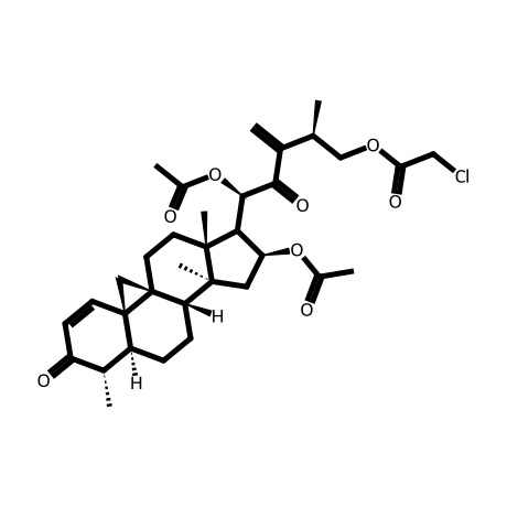 C=C(C(=O)[C@H](OC(C)=O)C1[C@@H](OC(C)=O)C[C@@]2(C)[C@@H]3CC[C@H]4[C@H](C)C(=O)C=C[C@@]45C[C@@]35CC[C@]12C)[C@@H](C)COC(=O)CCl